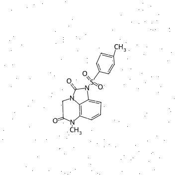 Cc1ccc(S(=O)(=O)n2c(=O)n3c4c(cccc42)N(C)C(=O)C3)cc1